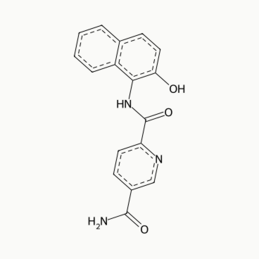 NC(=O)c1ccc(C(=O)Nc2c(O)ccc3ccccc23)nc1